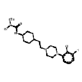 CCCCN(S)C(=O)NC1CCC(CCN2CCN(c3cccc(Cl)c3Cl)CC2)CC1